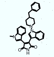 Cn1cc(C2=C(c3cn(N4CCC(Cc5ccccc5)CC4)c4ccccc34)C(=O)NC2=O)c2ccccc21